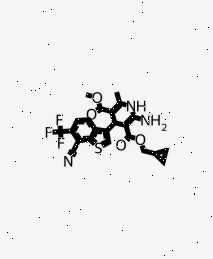 COC(=O)C1=C(C)NC(N)=C(C(=O)OCC2CC2)C1c1csc2c(C#N)c(C(F)(F)F)ccc12